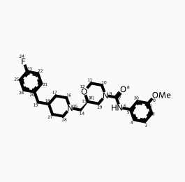 COc1cccc(NC(=O)N2CCO[C@H](CN3CCC(Cc4ccc(F)cc4)CC3)C2)c1